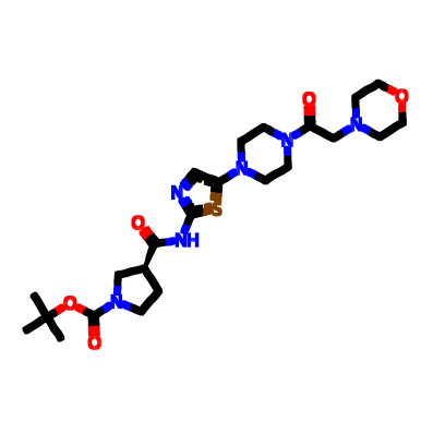 CC(C)(C)OC(=O)N1CC[C@H](C(=O)Nc2ncc(N3CCN(C(=O)CN4CCOCC4)CC3)s2)C1